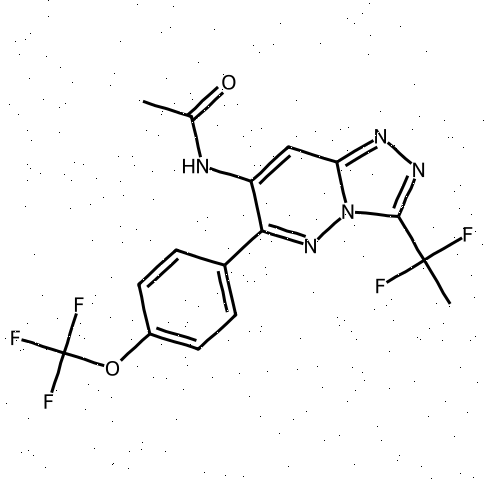 CC(=O)Nc1cc2nnc(C(C)(F)F)n2nc1-c1ccc(OC(F)(F)F)cc1